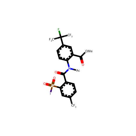 COC(=O)c1cc(C(F)(C(F)(F)F)C(F)(F)F)ccc1N(C(C)=O)C(=O)c1ccc(C(F)(F)F)cc1S(=O)(=O)I